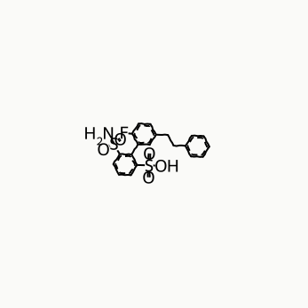 NS(=O)(=O)c1cccc(S(=O)(=O)O)c1-c1cc(CCc2ccccc2)ccc1F